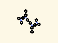 c1ccc(-c2ccc3c(c2)c2cc4c5ccccc5n(-c5ccccc5)c4cc2n3-c2ccc(-c3ccc(-n4c5ccc(-c6ccccc6)cc5c5cc6c7ccccc7n(-c7ccccc7)c6cc54)cc3)cc2)cc1